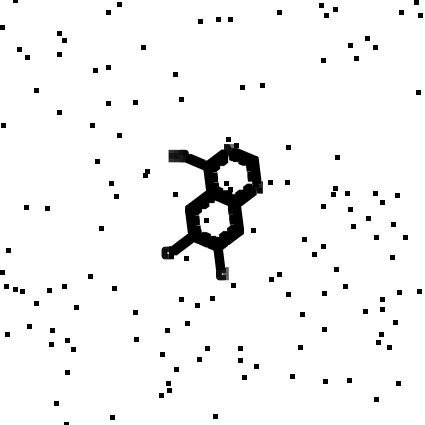 Oc1ncnc2cc(Cl)c(Cl)cc12